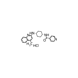 Cc1cc(N[C@H]2CC[C@@H](NC(=O)c3ccncc3)CC2)nc2ccccc12.Cl